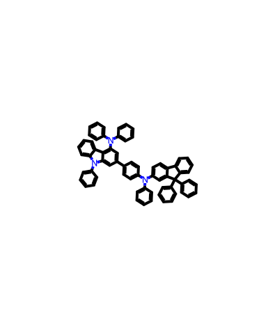 c1ccc(N(c2ccc(-c3cc(N(c4ccccc4)c4ccccc4)c4c5ccccc5n(-c5ccccc5)c4c3)cc2)c2ccc3c(c2)C(c2ccccc2)(c2ccccc2)c2ccccc2-3)cc1